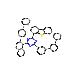 c1ccc(-c2ccc(-c3ccc4ccccc4c3-c3nc(-c4cccc(-c5cccc(-c6ccccc6)c5)c4)nc(-c4cccc5c4sc4ccccc45)n3)cc2)cc1